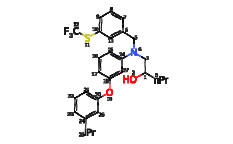 CCCC(O)CN(Cc1cccc(SC(F)(F)F)c1)c1cccc(Oc2cccc(C(C)C)c2)c1